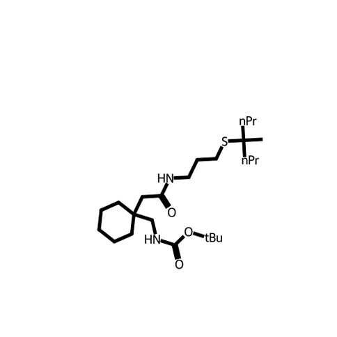 CCCC(C)(CCC)SCCCNC(=O)CC1(CNC(=O)OC(C)(C)C)CCCCC1